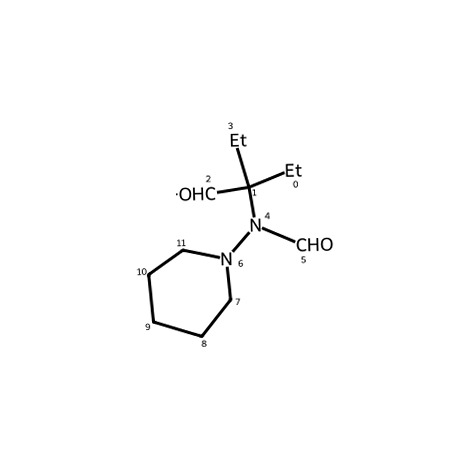 CCC([C]=O)(CC)N(C=O)N1CCCCC1